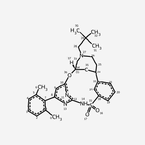 Cc1cccc(C)c1-c1cc2nc(n1)NS(=O)(=O)c1cccc(c1)C1CCN(CC(C)(C)C)C[C@H](C1)O2